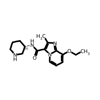 CCOc1cccn2c(C(=O)N[C@H]3CCCNC3)c(C)nc12